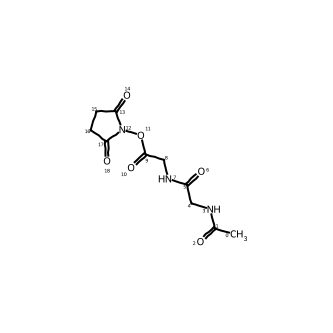 CC(=O)NCC(=O)NCC(=O)ON1C(=O)CCC1=O